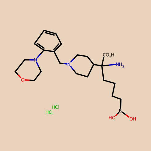 Cl.Cl.NC(CCCCB(O)O)(C(=O)O)C1CCN(Cc2ccccc2N2CCOCC2)CC1